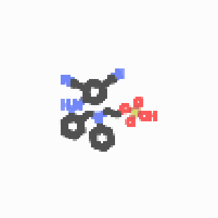 N#Cc1ccc(N)c(C#N)c1.O=S(=O)(O)OCCN(Cc1ccccc1)c1ccccc1